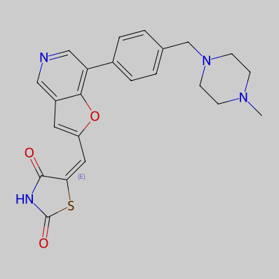 CN1CCN(Cc2ccc(-c3cncc4cc(/C=C5/SC(=O)NC5=O)oc34)cc2)CC1